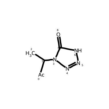 CC(=O)C(C)n1nn[nH]c1=O